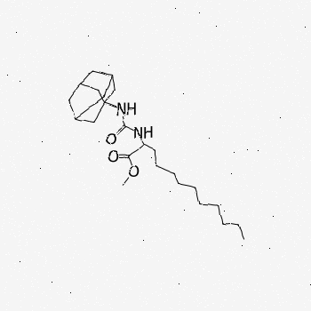 CCCCCCCCCCC(NC(=O)NC12CC3CC(CC(C3)C1)C2)C(=O)OC